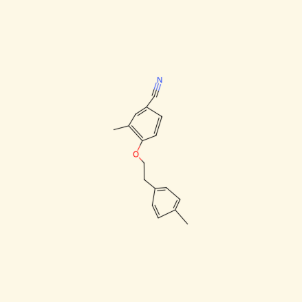 Cc1ccc(CCOc2ccc(C#N)cc2C)cc1